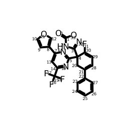 O=c1[nH]c(C2(c3nc(-c4ccoc4)cc(C(F)(F)F)n3)CC(c3ccccc3)=CC=C2F)no1